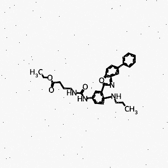 CCCNc1ccc(NC(=O)NCCCC(=O)OCC)cc1-c1nc2cc(-c3ccccc3)ccc2o1